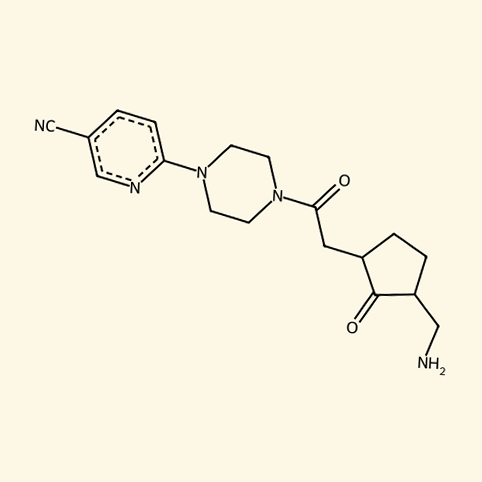 N#Cc1ccc(N2CCN(C(=O)CC3CCC(CN)C3=O)CC2)nc1